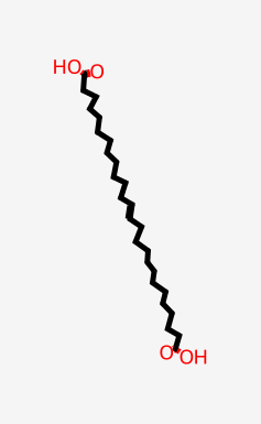 O=C(O)CCCCCCCCCCCC=CCCCCCCCCCCCC(=O)O